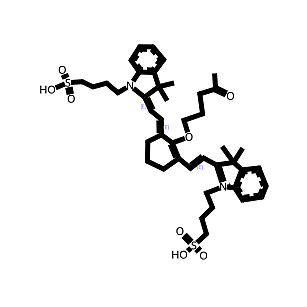 CC(=O)CCCOC1=C(/C=C/C2=[N+](CCCCS(=O)(=O)O)c3ccccc3C2(C)C)CCC/C1=C\C=C1\N(CCCCS(=O)(=O)O)c2ccccc2C1(C)C